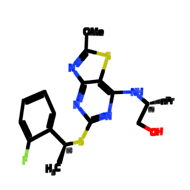 CCC[C@H](CO)Nc1nc(S[C@@H](C)c2ccccc2F)nc2nc(OC)sc12